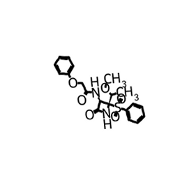 COC(C)[C@@]1(S(=O)(=O)c2ccccc2)NC(=O)[C@H]1NC(=O)COc1ccccc1